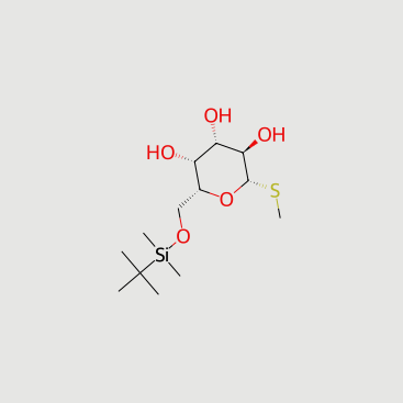 CS[C@@H]1O[C@H](CO[Si](C)(C)C(C)(C)C)[C@H](O)[C@H](O)[C@H]1O